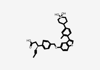 CC#C[C@@H](CC(=O)O)c1ccc(COc2ccc3scc(-c4ccc(C5CCS(O)(O)CC5)cc4C)c3c2)cc1